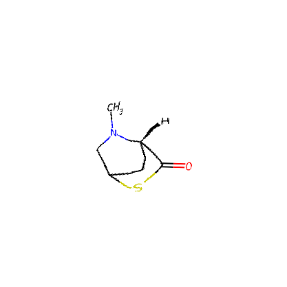 CN1CC2C[C@H]1C(=O)S2